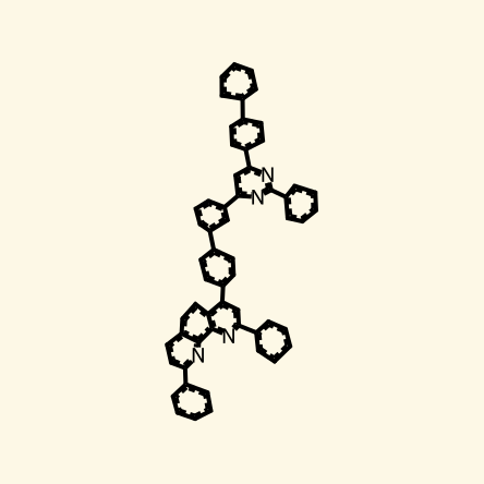 c1ccc(-c2ccc(-c3cc(-c4cccc(-c5ccc(-c6cc(-c7ccccc7)nc7c6ccc6ccc(-c8ccccc8)nc67)cc5)c4)nc(-c4ccccc4)n3)cc2)cc1